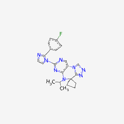 CC(C)N1c2nc(-n3ccnc3-c3ccc(F)cc3)ncc2-n2cnnc2C12CCC2